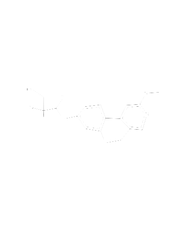 [2H]C(Oc1ccc2c(c1)OCc1cnc(NC(=O)O)cc1-2)C(C)(N)CC(C)C